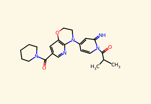 CC(C)C(=O)n1ccc(N2CCOc3cc(C(=O)N4CCCCC4)cnc32)cc1=N